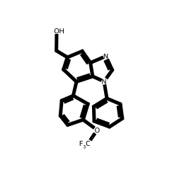 OCc1cc(-c2cccc(OC(F)(F)F)c2)c2c(c1)ncn2-c1ccccc1